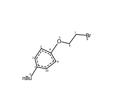 CCCCc1ccc(OCCBr)cc1